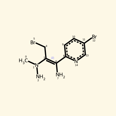 CN(N)/C(CBr)=C(\N)c1ccc(Br)cn1